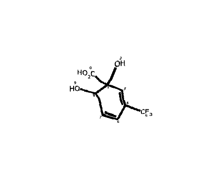 O=C(O)C1(O)C=C(C(F)(F)F)C=CC1O